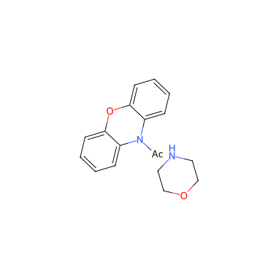 C1COCCN1.CC(=O)N1c2ccccc2Oc2ccccc21